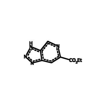 CCOC(=O)c1cc2nn[nH]c2cn1